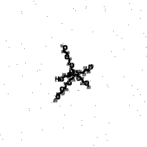 COCCOCCOCCC(CCOCCOCCOC)(OCCO)C(OCCOC)[SiH2]CCC=O